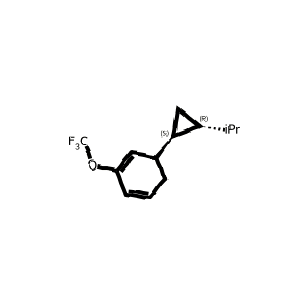 CC(C)[C@H]1C[C@@H]1C1C=C(OC(F)(F)F)C=CC1